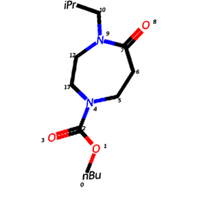 CCCCOC(=O)N1CCC(=O)N(CC(C)C)CC1